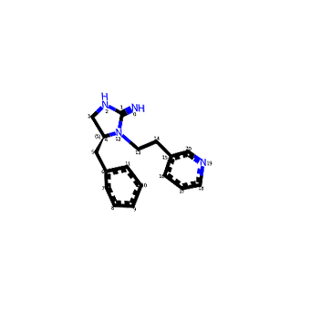 N=C1NC[C@H](Cc2ccccc2)N1CCc1cccnc1